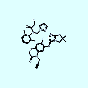 C#CCN1C(=O)COc2cc(F)c(/N=c3\snc4n3CC(C)(C)C4)cc21.Cc1cccc(C)c1N(Cn1cccn1)C(=O)CCl